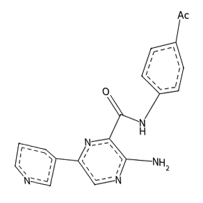 CC(=O)c1ccc(NC(=O)c2nc(-c3cccnc3)cnc2N)cc1